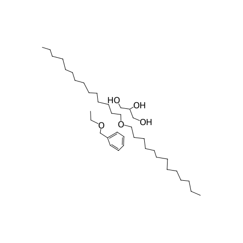 CCCCCCCCCCCCCCOCCCCCCCCCCCCC.CCOCc1ccccc1.OCC(O)CO